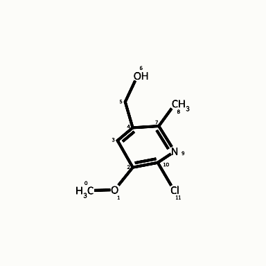 COc1cc(CO)c(C)nc1Cl